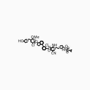 COC1=NC(C)(O[C@H]2CCc3c(-c4cccc(-c5nc6c(=N)n(CCN7CC[C@@H](C(=O)NS(=O)(=O)C8CC8)C7)cc(C#N)c6o5)c4Cl)cccc32)C(Cl)C=C1CN1CC[C@@H](O)C1